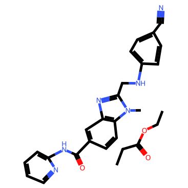 CCOC(=O)CC.Cn1c(CNc2ccc(C#N)cc2)nc2cc(C(=O)Nc3ccccn3)ccc21